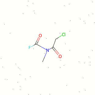 CN(C(=O)F)C(=O)CCl